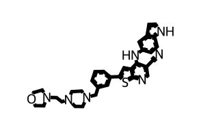 N#Cc1cnc2sc(-c3cccc(CN4CCN(CCN5CCOCC5)CC4)c3)cc2c1Nc1ccc2[nH]ccc2c1